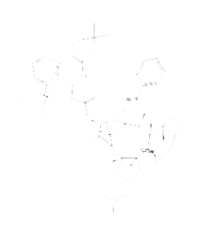 COC(C)(C)O[C@@H](C(=O)O[C@H]1C[C@@]2(O)[C@@H](OC(=O)c3ccccc3)[C@H]3[C@@](C)(CCC4OC[C@]43OC(C)=O)[C@@H]3O[C@H](CN(C)C)O[C@@H]3C(=C1C)C2(C)C)[C@@H](NC(=O)OC(C)(C)C)c1ncccc1F